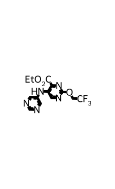 CCOC(=O)c1nc(OCC(F)(F)F)ncc1Nc1cncnc1